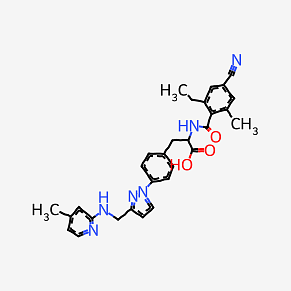 CCc1cc(C#N)cc(C)c1C(=O)NC(Cc1ccc(-n2ccc(CNc3cc(C)ccn3)n2)cc1)C(=O)O